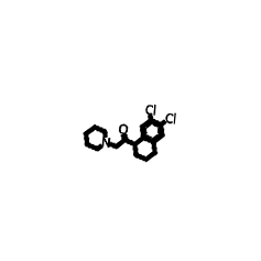 O=C(CN1CCCCC1)C1CCCc2cc(Cl)c(Cl)cc21